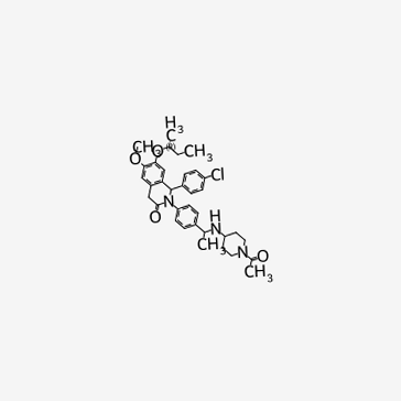 CC[C@@H](C)Oc1cc2c(cc1OC)CC(=O)N(c1ccc(C(C)NC3CCN(C(C)=O)CC3)cc1)C2c1ccc(Cl)cc1